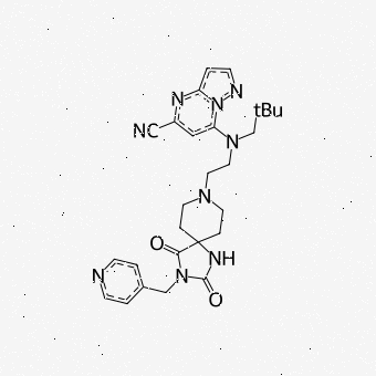 CC(C)(C)CN(CCN1CCC2(CC1)NC(=O)N(Cc1ccncc1)C2=O)c1cc(C#N)nc2ccnn12